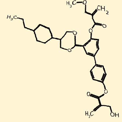 C=C(CO)C(=O)Oc1ccc(-c2ccc(OC(=O)C(=C)COC)c(C3OCC(C4CCC(CCC)CC4)CO3)c2)cc1